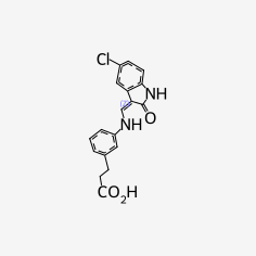 O=C(O)CCc1cccc(N/C=C2\C(=O)Nc3ccc(Cl)cc32)c1